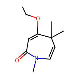 CCOC1=CC(=O)N(C)C=CC1(C)C